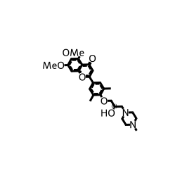 COc1cc(OC)c2c(=O)cc(-c3cc(C)c(OC[C@H](O)CN4CCN(C)CC4)c(C)c3)oc2c1